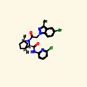 CC(=O)c1nn(CC(=O)N2[C@@H]3CC[C@@H](C3)[C@H]2C(=O)Nc2cccc(Cl)n2)c2ccc(Br)cc12